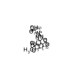 COc1cc2cc3c(c(-c4cnc(N5CCCC(C(=O)O)C5)nc4)c2cc1OC)C(=O)OC3